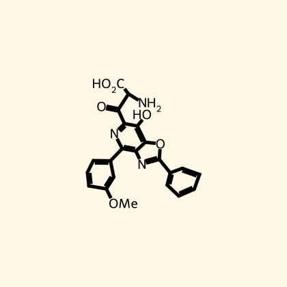 COc1cccc(-c2nc(C(=O)C(N)C(=O)O)c(O)c3oc(-c4ccccc4)nc23)c1